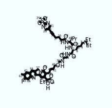 CCN(CC)CCCC[C@H](NC(=O)[C@@H](NC(=O)CCCC#Cc1cnc(S(C)(=O)=O)nc1)C(C)C)C(=O)NCC(=O)NCOC/C=C/C1OC(=O)[C@](O)(CC)c2cc3n(c(=O)c21)Cc1cc2cc(C)c(F)cc2nc1-3